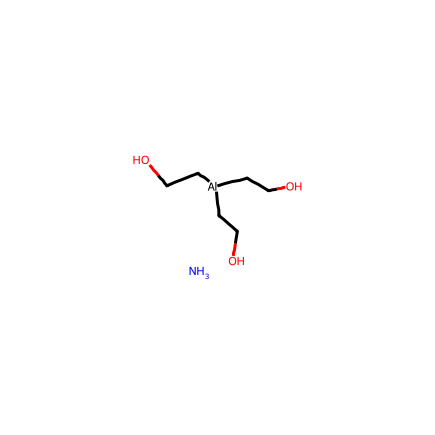 N.OC[CH2][Al]([CH2]CO)[CH2]CO